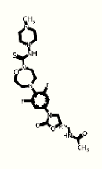 CC(=O)NC[C@H]1CN(c2cc(F)c(N3CCON(C(=S)NN4CCN(C)CC4)CC3)c(F)c2)C(=O)O1